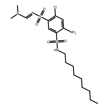 CCCCCCCCCNS(=O)(=O)c1cc(S(=O)(=O)/N=C/N(C)C)c(Cl)cc1N